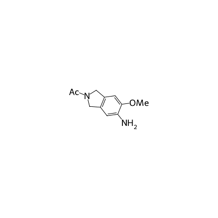 COc1cc2c(cc1N)CN(C(C)=O)C2